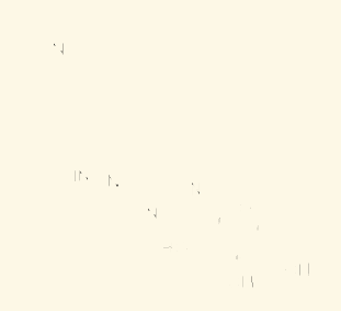 CN(C)Cc1ccc(NN2C=Nc3c(c(-c4ccccc4)cn3[C@@H]3O[C@H](CO)[C@H](O)[C@@H]3O)C2)cc1